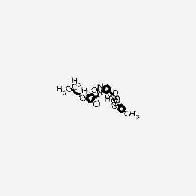 Cc1ccc(S(=O)(=O)NC(=O)c2ccc3nc(C)n(Cc4ccc(OCCC(C)C)cc4Cl)c3c2)cc1